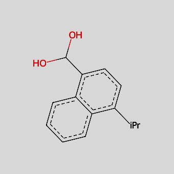 CC(C)c1ccc(C(O)O)c2ccccc12